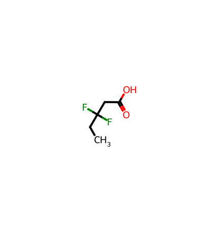 CCC(F)(F)CC(=O)O